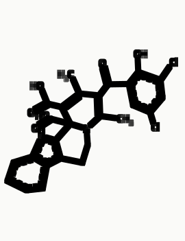 CC1=C(C(=O)O)C2(C(=O)O)c3[nH]c4ccccc4c3CCN2C(C)=C1C(=O)c1cc(Cl)cc(Cl)c1O